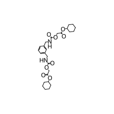 O=C(COC(=O)NCc1cccc(CNC(=O)OCC(=O)OC2CCCCC2)c1)OC1CCCCC1